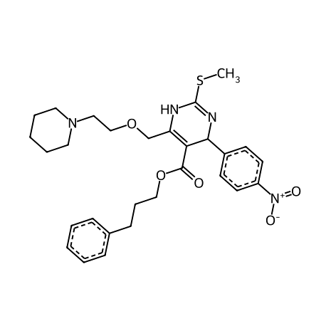 CSC1=NC(c2ccc([N+](=O)[O-])cc2)C(C(=O)OCCCc2ccccc2)=C(COCCN2CCCCC2)N1